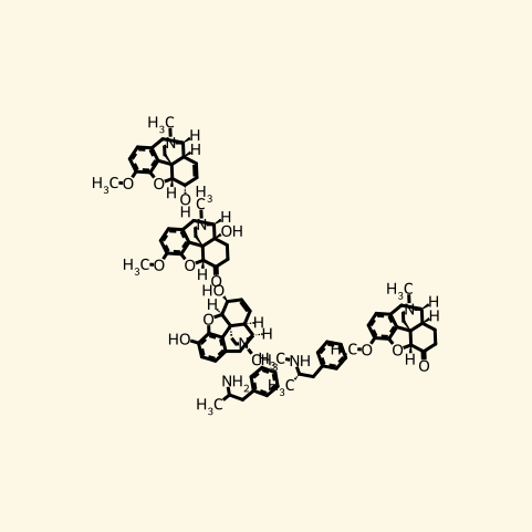 CC(N)Cc1ccccc1.CN1CC[C@]23c4c5ccc(O)c4O[C@H]2[C@@H](O)C=C[C@H]3[C@H]1C5.CN[C@@H](C)Cc1ccccc1.COc1ccc2c3c1O[C@H]1C(=O)CC[C@@]4(O)[C@@H](C2)N(C)CC[C@]314.COc1ccc2c3c1O[C@H]1C(=O)CC[C@H]4[C@@H](C2)N(C)CC[C@]314.COc1ccc2c3c1O[C@H]1[C@@H](O)C=C[C@H]4[C@@H](C2)N(C)CC[C@@]341